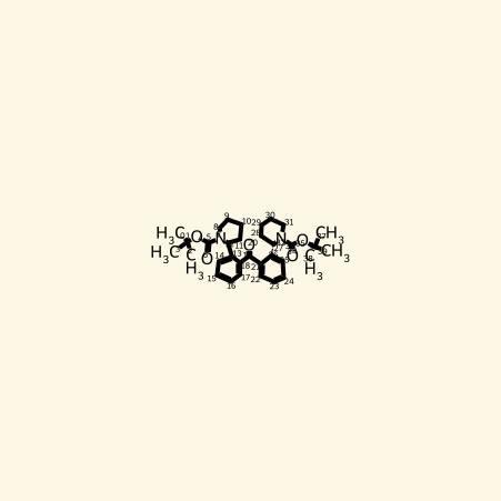 CC(C)(C)OC(=O)N1CCCCC1c1ccccc1C(=O)c1ccccc1[C@@H]1CCCCN1C(=O)OC(C)(C)C